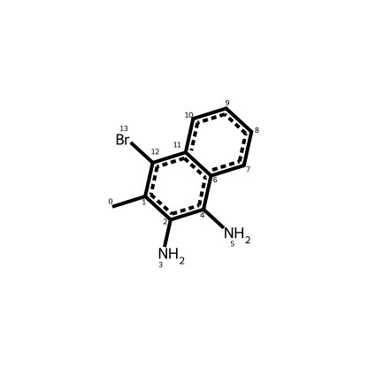 Cc1c(N)c(N)c2ccccc2c1Br